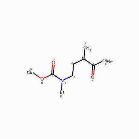 CCN(CCC(C)C(=O)OC)C(=O)OC(C)(C)C